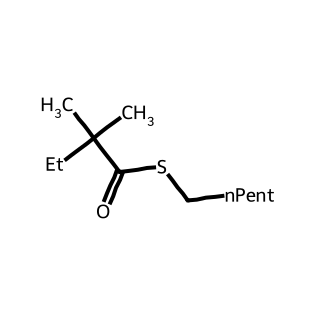 CCCCCCSC(=O)C(C)(C)CC